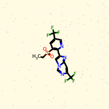 CCS(=O)(=O)c1cc(C(F)(F)F)cnc1-c1cn2cnc(C(F)(F)F)cc2n1